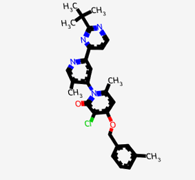 Cc1cccc(COc2cc(C)n(-c3cc(-c4ccnc(C(C)(C)C)n4)ncc3C)c(=O)c2Cl)c1